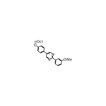 CCCCCCCCOc1ccc(-c2cnc(-c3cccc(OC)c3)nc2)cc1